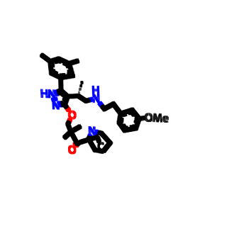 COc1cccc(CCNC[C@@H](C)c2c(OCC(C)(C)C(=O)C3CC4CCN3CC4)n[nH]c2-c2cc(C)cc(C)c2)c1